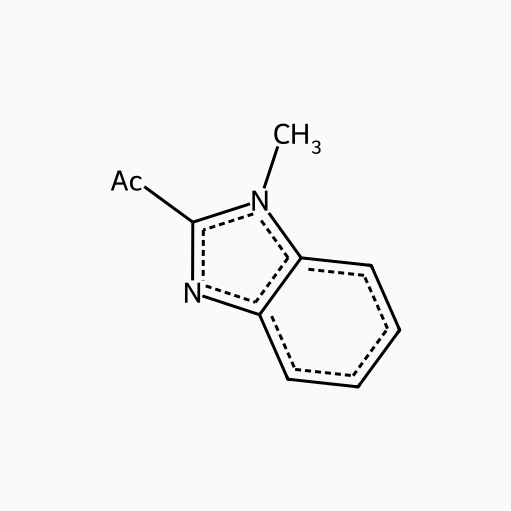 CC(=O)c1nc2ccccc2n1C